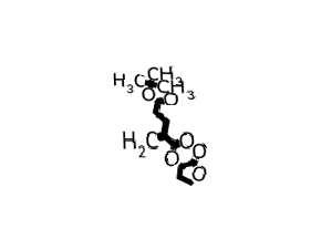 C=C(CCC(=O)OC(C)(C)C)C(=O)OC1CCOC1=O